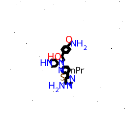 CCCc1cc(N(CC(O)c2ccc(C(N)=O)cc2)C2CCNCC2)nc2sc3c(N)ncnc3c12